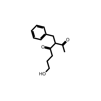 CC(=O)C(Cc1ccccc1)C(=O)CCCO